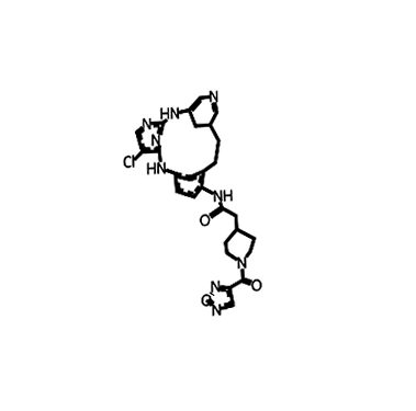 O=C(CC1CCN(C(=O)c2cnon2)CC1)Nc1ccc2cc1CCC1C=NC=C(C1)Nc1ncc(Cl)c(n1)N2